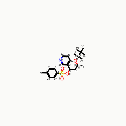 Cc1ccc(S(=O)(=O)OC(C[C@@H](C)O[Si](C)(C)C(C)(C)C)c2cccnc2)cc1